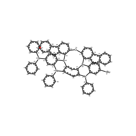 CC(C)(C)c1cc2c3c(c1)-n1c4ccccc4c4ccc5c(c41)B3c1cc3c(cc1N2c1ccccc1)N(c1ccccc1)c1cc(N(c2ccccc2)c2ccccc2)cc2c1B3c1c(ccc3c4ccccc4n-2c13)O5